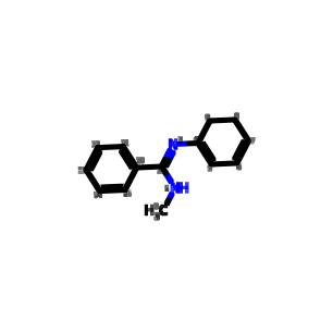 CN/C(=N\C1=CC=CCC1)c1ccccc1